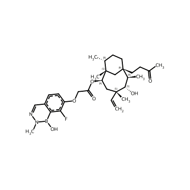 C=C[C@]1(C)C[C@@H](OC(=O)COc2ccc3c(c2F)B(O)N(C)N=C3)[C@@]2(C)C[C@](CCC(C)=O)(CC[C@H]2C)[C@@H](C)[C@@H]1O